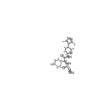 Cc1nsc(C)c1-c1ccc(NC(=O)[C@@H](NC(=O)OC(C)(C)C)C2CCC(C)CC2)nc1